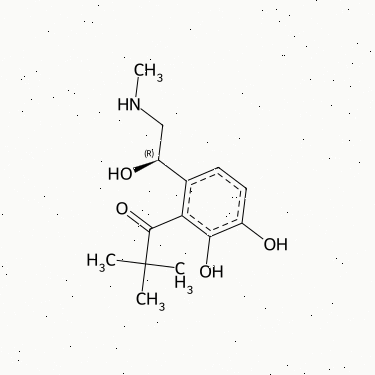 CNC[C@H](O)c1ccc(O)c(O)c1C(=O)C(C)(C)C